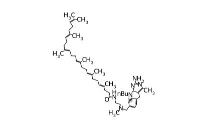 CCCCNc1nc(N)nc(C)c1Cc1ccc(CN(C)CCNC(=O)CC/C(C)=C/CC/C(C)=C/CC/C(C)=C/CC/C=C(\C)CC/C=C(\C)CCC=C(C)C)cc1